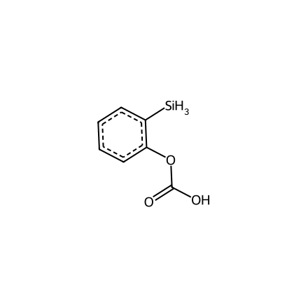 O=C(O)Oc1ccccc1[SiH3]